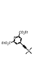 CCOC(=O)c1cc(C#C[Si](C)(C)C)cc(C(=O)OCC)n1